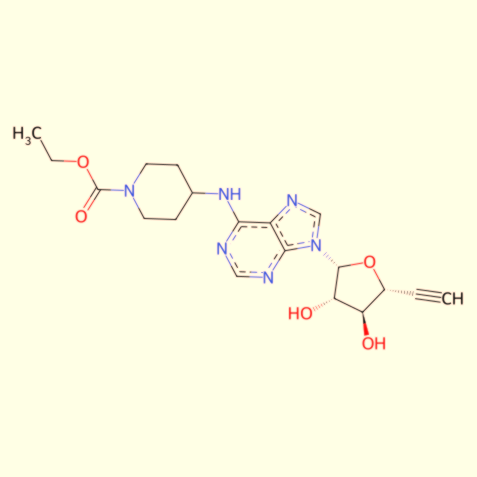 C#C[C@H]1O[C@@H](n2cnc3c(NC4CCN(C(=O)OCC)CC4)ncnc32)[C@@H](O)[C@@H]1O